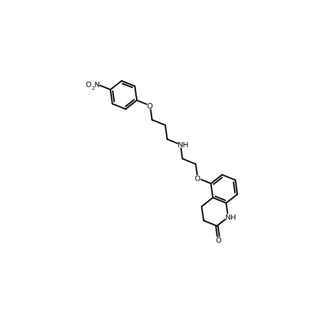 O=C1CCc2c(cccc2OCCNCCCOc2ccc([N+](=O)[O-])cc2)N1